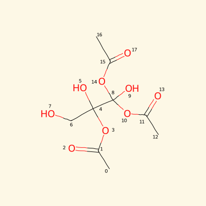 CC(=O)OC(O)(CO)C(O)(OC(C)=O)OC(C)=O